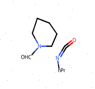 CCCN=C=O.O=CN1CCCCC1